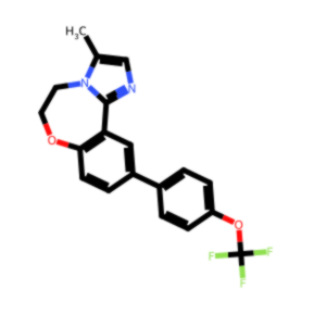 Cc1cnc2n1CCOc1ccc(-c3ccc(OC(F)(F)F)cc3)cc1-2